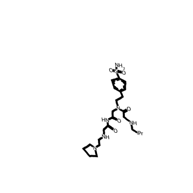 CC(C)CNCC(=O)N(CCc1ccc(S(N)(=O)=O)cc1)CC(=O)NC(=O)CNCCN1CCCC1